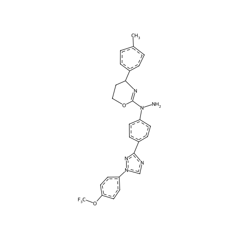 Cc1ccc(C2CCOC(N(N)c3ccc(-c4ncn(-c5ccc(OC(F)(F)F)cc5)n4)cc3)=N2)cc1